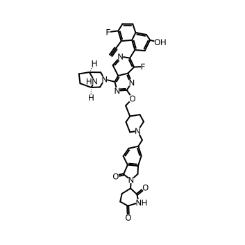 C#Cc1c(F)ccc2cc(O)cc(-c3ncc4c(N5C[C@H]6CC[C@@H](C5)N6)nc(OCC5CCN(Cc6ccc7c(c6)CN(C6CCC(=O)NC6=O)C7=O)CC5)nc4c3F)c12